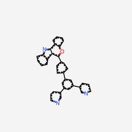 c1cncc(-c2cc(-c3ccc(-c4oc5ccccc5c5nc6ccccc6c4-5)cc3)cc(-c3cccnc3)c2)c1